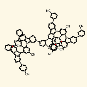 Cc1cc(-c2c(-n3c4cc(-c5cccc(C#N)c5)ccc4c4ccc(-c5cccc(C#N)c5)cc43)cc(C#N)cc2-n2c3cc(-c4cccc(C#N)c4)ccc3c3cc(-c4cc(-c5ccc6c7ccccc7n(-c7cc(C#N)cc(-n8c9ccccc9c9ccc(-c%10ccc(C#N)cc%10)cc98)c7-c7cc(-c8ccccc8)nc(-c8ccccc8)c7)c6c5)ccc4C#N)c(-c4cccc(C#N)c4)cc32)cc(C)n1